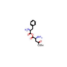 COC(=O)C[C@H](N)C(=O)OC(=O)[C@@H](N)Cc1ccccc1